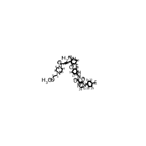 COCCN1CCN(C(=O)C#Cc2c(Oc3ccc(NC(=O)c4nccn(-c5ccc(F)cc5)c4=O)cc3F)ccnc2N)CC1